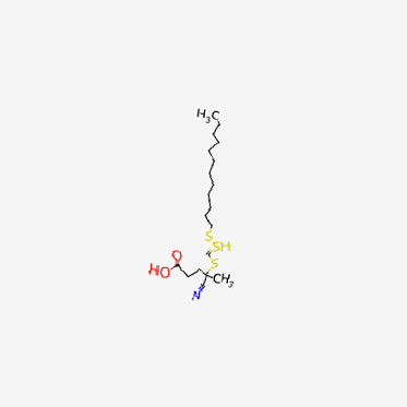 CCCCCCCCCCCCS[SH]=CSC(C)(C#N)CCC(=O)O